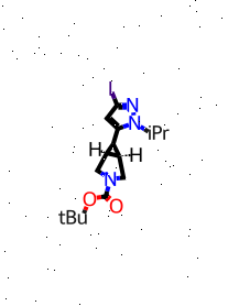 CC(C)n1nc(I)cc1C1[C@H]2CN(C(=O)OC(C)(C)C)C[C@@H]12